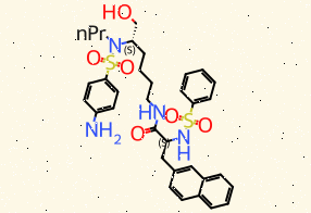 CCCN([C@H](CO)CCCCNC(=O)[C@H](Cc1ccc2ccccc2c1)NS(=O)(=O)c1ccccc1)S(=O)(=O)c1ccc(N)cc1